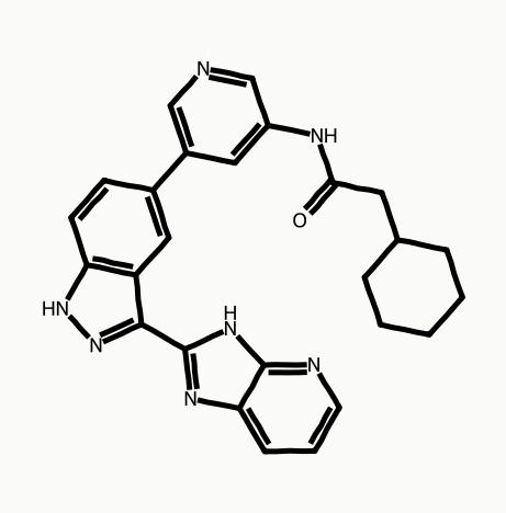 O=C(CC1CCCCC1)Nc1cncc(-c2ccc3[nH]nc(-c4nc5cccnc5[nH]4)c3c2)c1